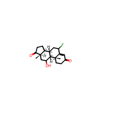 C[C@]12CCC(=O)C=C1C(F)C[C@@H]1[C@H]2C(O)C[C@]2(C)C(=O)CC[C@@H]12